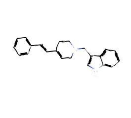 C1=C(/C=C/c2ccccc2)CCN(Cc2c[nH]c3ccccc23)C1